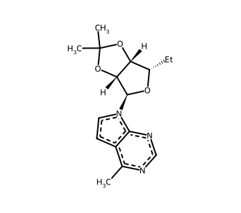 CC[C@@H]1O[C@@H](n2ccc3c(C)ncnc32)[C@@H]2OC(C)(C)O[C@@H]21